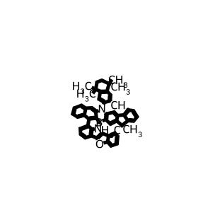 Cc1cc2c(cc1N1c3cc4c(cc3B3c5c1cc1ccccc1c5-c1cccc5c6oc7ccccc7c6n3c15)C(C)(C)c1ccccc1-4)C(C)(C)CCC2(C)C